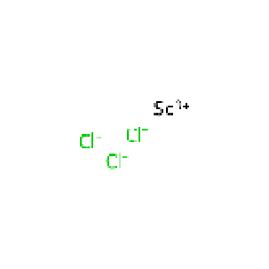 [Cl-].[Cl-].[Cl-].[Sc+3]